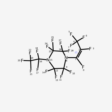 F/C(=C(\F)C(F)(F)F)N1C(F)(F)C(F)(F)N(C(F)(F)C(F)(F)F)C(F)(F)C1(F)F